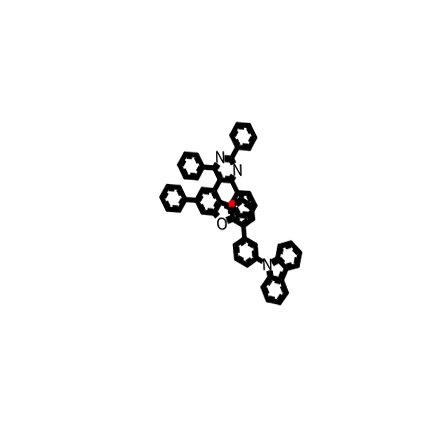 c1ccc(-c2cc(-c3c(-c4ccccc4)nc(-c4ccccc4)nc3-c3ccccc3)c3c(c2)oc2c(-c4cccc(-n5c6ccccc6c6ccccc65)c4)cccc23)cc1